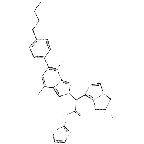 C=C(Nc1ncc[nH]1)C(c1ncn2c1C[C@@H](F)C2)n1cc2c(C)cc(-c3ccc(CCCC)cc3)c(C)c2n1